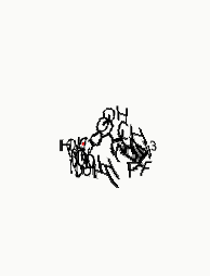 Cc1ccc(C(CC(=O)O)c2ccn3c(C(F)F)nnc3c2C)cc1CN1C[C@H]2COCCN2c2ncccc2S1(O)O